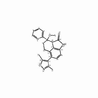 COC1(c2ccccn2)CCc2c(-c3c(C)noc3C)ccc3[nH]c(=O)n1c23